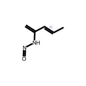 C=C(/C=C/C)NN=O